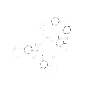 Cc1ccc(C(=O)OC(=O)c2ccc(C)c(C)c2C)c(C)c1C.Cc1cn([C@H]2C[C@H](O)[C@@H](COP(=O)(O)O)O2)c(=O)[nH]c1=O.c1ccc(Pc2ccccc2)cc1